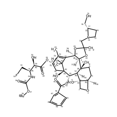 CC(=O)O[C@@]12CO[C@@H]1CC[C@@]1(C)[C@@H]3OC(C)(CN4CC[C@H]4CO)O[C@@H]3C3=C(C)[C@@H](OC(=O)[C@H](O)[C@H](CF)NC(=O)OC(C)(C)C)C[C@@](O)([C@@H](OC(=O)c4ccccc4)[C@@H]12)C3(C)C